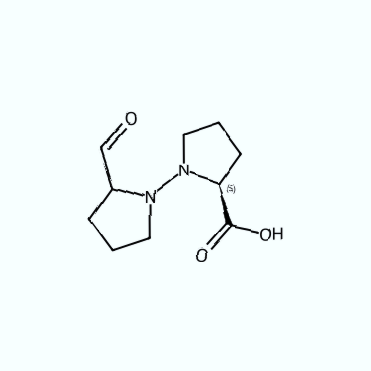 O=CC1CCCN1N1CCC[C@H]1C(=O)O